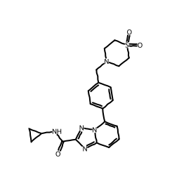 O=C(NC1CC1)c1nc2cccc(-c3ccc(CN4CCS(=O)(=O)CC4)cc3)n2n1